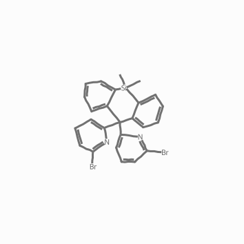 C[Si]1(C)c2ccccc2C(c2cccc(Br)n2)(c2cccc(Br)n2)c2ccccc21